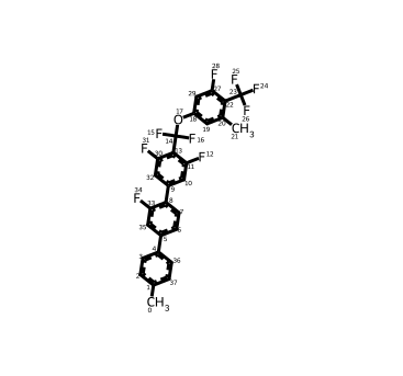 Cc1ccc(-c2ccc(-c3cc(F)c(C(F)(F)Oc4cc(C)c(C(F)(F)F)c(F)c4)c(F)c3)c(F)c2)cc1